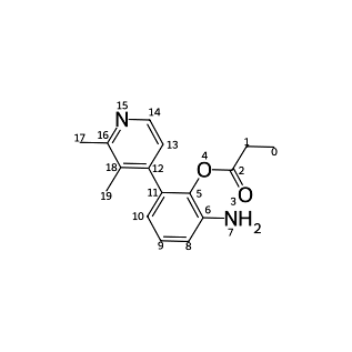 CCC(=O)Oc1c(N)cccc1-c1ccnc(C)c1C